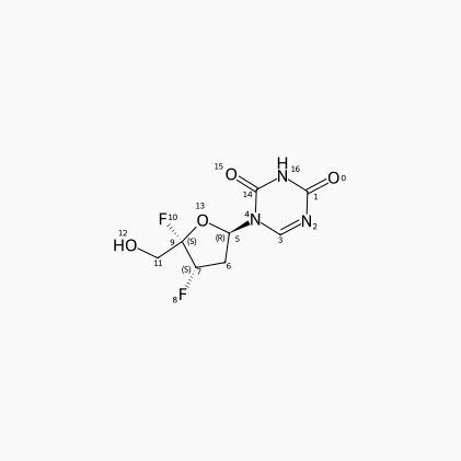 O=c1ncn([C@H]2C[C@H](F)[C@@](F)(CO)O2)c(=O)[nH]1